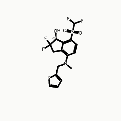 CN(Cc1cccs1)c1ccc(S(=O)(=O)C(F)F)c2c1CC(F)(F)[C@H]2O